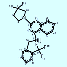 FC1(F)CCN(c2nc(NCc3cccnc3C(F)(F)F)c3cccnc3n2)C1